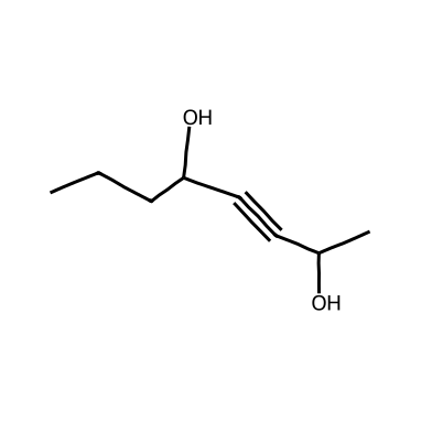 CCCC(O)C#CC(C)O